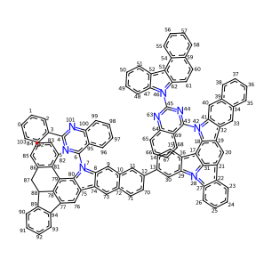 c1ccc(-c2nc(-n3c4cc5cc(-c6ccc7c8c9c(cc%10c%11ccccc%11n(c7c6)c%108)c6cc7ccccc7cc6n9-c6nc(-n7c8ccccc8c8c9ccccc9ccc87)nc7ccccc67)ccc5cc4c4cc5c6c(c43)-c3ccccc3CC6c3ccccc3-5)c3ccccc3n2)cc1